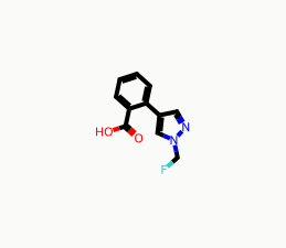 O=C(O)c1ccccc1-c1cnn(CF)c1